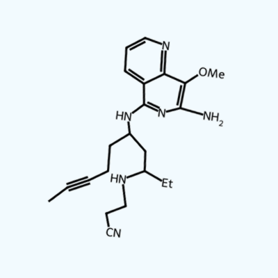 CC#CCCC(CC(CC)NCCC#N)Nc1nc(N)c(OC)c2ncccc12